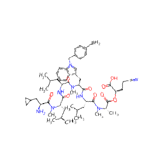 Bc1ccc(Cn2cc(C[C@@H](C(=O)N[C@@H](CC(C)C)C(=O)N(C)[C@@H](C)C(=O)O[C@H](CCC#N)C(=O)O)N(C)C(=O)[C@H](CC(C)C)NC(=O)[C@H](CC(C)C)N(C)C(=O)[C@@H](N)CC3CC3)c3ccccc32)cc1